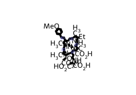 CCC1=C(C)/C2=C/c3c(/C=C/c4ccc(OC)cc4)c(C)c4n3Nn3/c(c(C)c(C(=O)O)/c3=C(\CC(=O)N[C@@H](CC(=O)O)C(=O)O)C3=N/C(=C\4)[C@@H](C)[C@@H]3CCC(=O)O)=C\C1=N2